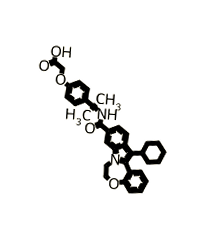 CC(C)(NC(=O)c1ccc2c(C3CCCCC3)c3n(c2c1)CCOc1ccccc1-3)c1ccc(OCC(=O)O)cc1